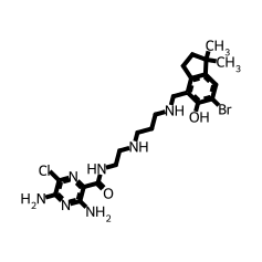 CC1(C)CCc2c1cc(Br)c(O)c2CNCCCNCCNC(=O)c1nc(Cl)c(N)nc1N